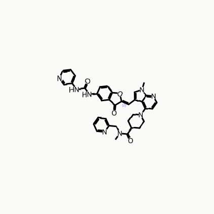 CN(Cc1ccccn1)C(=O)C1CCN(c2ccnc3c2c(/C=C2\Oc4ccc(NC(=O)Nc5cccnc5)cc4C2=O)cn3C)CC1